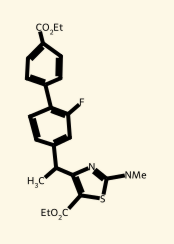 CCOC(=O)c1ccc(-c2ccc(C(C)c3nc(NC)sc3C(=O)OCC)cc2F)cc1